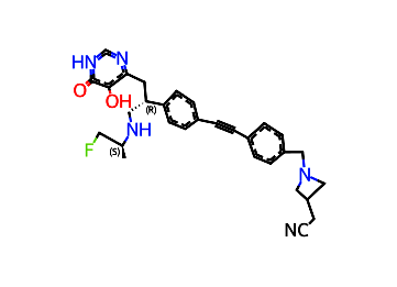 C[C@@H](CF)NC[C@H](Cc1nc[nH]c(=O)c1O)c1ccc(C#Cc2ccc(CN3CC(CC#N)C3)cc2)cc1